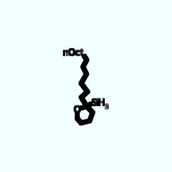 CCCCCCCCCCCCCCC1([SiH3])CCCCO1